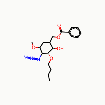 CCCCO[C@@H]1C(N=[N+]=[N-])[C@@H](OC)CC(COC(=O)c2ccccc2)[C@H]1O